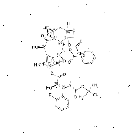 CC(=O)O[C@@]12CO[C@@H]1C[C@H](O)[C@@]1(C)C(=O)[C@H](O)C3=C(C)[C@@H](OC(=O)[C@H](O)[C@@H](NC(=O)OC(C)(C)C)c4ccccc4F)C[C@@](O)([C@@H](OC(=O)c4ccccc4)[C@H]21)C3(C)C